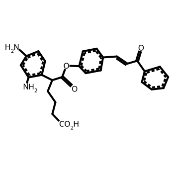 Nc1ccc(C(CCCC(=O)O)C(=O)Oc2ccc(C=CC(=O)c3ccccc3)cc2)c(N)c1